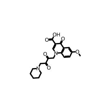 COc1ccc2c(c1)c(=O)c(C(=O)O)cn2CC(=O)C(=O)CN1CCCCC1